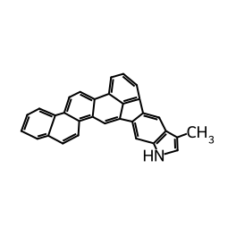 Cc1c[nH]c2cc3c(cc12)-c1cccc2c1c-3cc1c2ccc2c3ccccc3ccc21